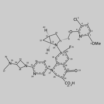 COc1ccc(Cl)c(OC[C@H]2C[C@@H]3C[C@@H]3N2c2cc3c(cc2F)c(=O)c(C(=O)O)cn3-c2ccc(N3CC(N(C)C)C3)nc2)n1